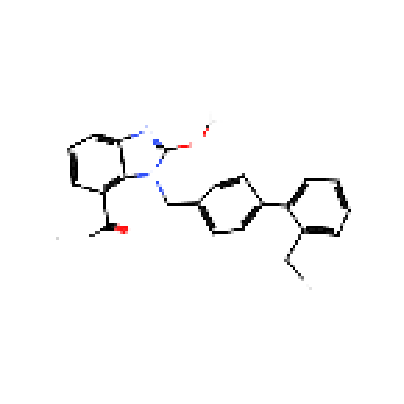 CCOc1nc2cccc(C(=O)OC)c2n1Cc1ccc(-c2ccccc2CN=O)cc1